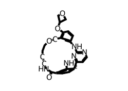 Nc1cc2ccc1-c1ccnc(n1)Nc1ccc(OC3COC3)c(c1)COCCCCNC2=O